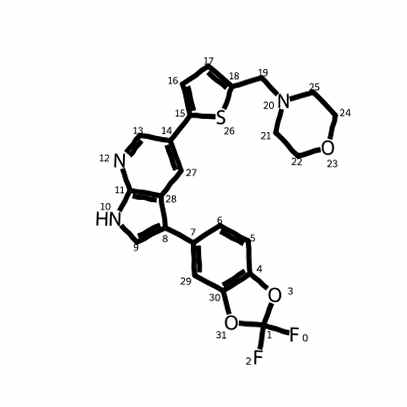 FC1(F)Oc2ccc(-c3c[nH]c4ncc(-c5ccc(CN6CCOCC6)s5)cc34)cc2O1